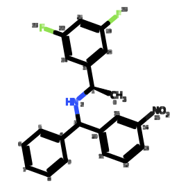 C[C@@H](NC(c1ccccc1)c1cccc([N+](=O)[O-])c1)c1cc(F)cc(F)c1